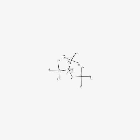 CC(C)(C)C[SiH](C(C)(C)C)C(C)(C)C